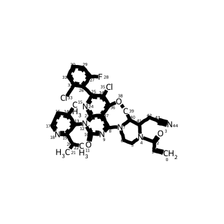 C=CC(=O)N1CCN2c3nc(=O)n(-c4c(C)ccnc4C(C)C)c4nc(-c5c(F)cccc5Cl)c(Cl)c(c34)OCC2C1CC#N